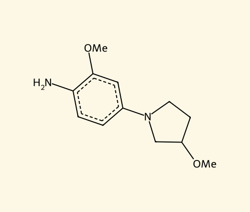 COc1cc(N2CCC(OC)C2)ccc1N